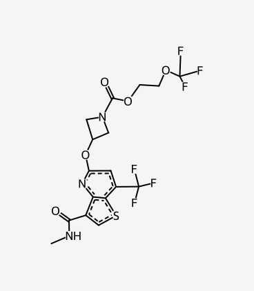 CNC(=O)c1csc2c(C(F)(F)F)cc(OC3CN(C(=O)OCCOC(F)(F)F)C3)nc12